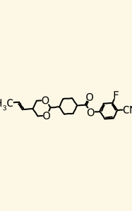 C/C=C/C1COC(C2CCC(C(=O)Oc3ccc(C#N)c(F)c3)CC2)OC1